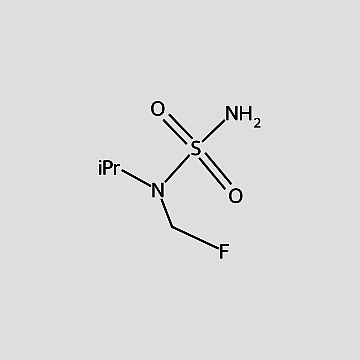 CC(C)N(CF)S(N)(=O)=O